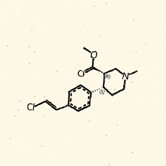 COC(=O)[C@H]1CN(C)CC[C@@H]1c1ccc(C=CCl)cc1